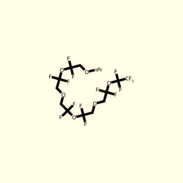 CCCOCC(F)(F)OC(F)(F)COCC(F)(F)OC(F)(F)COCC(F)(F)OC(F)(F)C(F)(F)F